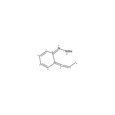 CC=C=C1C=CC=C/C1=N/NC